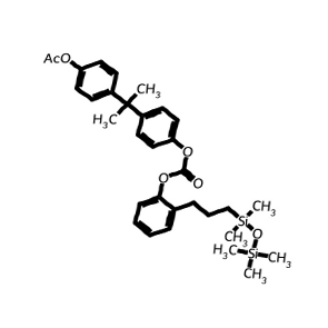 CC(=O)Oc1ccc(C(C)(C)c2ccc(OC(=O)Oc3ccccc3CCC[Si](C)(C)O[Si](C)(C)C)cc2)cc1